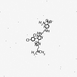 CN(C)CCc1noc(-c2cnc(NCCNc3ccc([N+](=O)[O-])c(N)n3)nc2-c2ccc(Cl)cc2Cl)n1